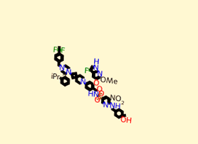 COc1nc2[nH]cc(F)c2cc1Oc1cc(N2CCC3(CC2)CC(N2CCN(Cc4ccc(C(C)(F)F)cc4)C[C@H]2c2ccccc2C(C)C)C3)ccc1C(=O)NS(=O)(=O)c1cnc(NCC2CCC(C)(O)CC2)c([N+](=O)[O-])c1